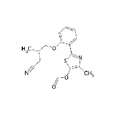 Cc1nc(-c2ccccc2OCC(C)CC#N)sc1OC=O